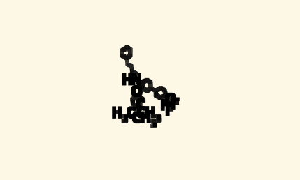 CC(C)(C)c1ccc(Oc2cc(-c3ccc(OC(F)(F)F)cc3)ccc2NCCCCc2ccccc2)cc1